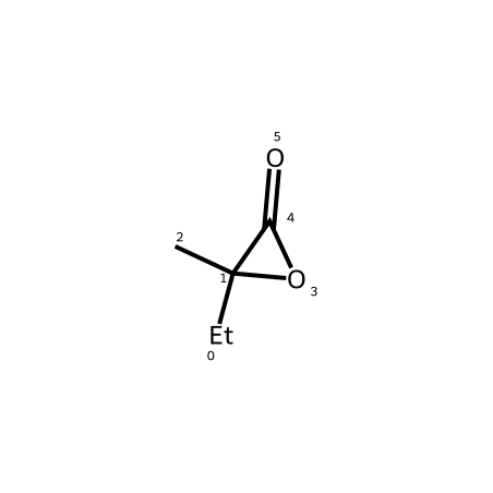 CCC1(C)OC1=O